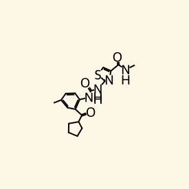 CNC(=O)c1csc(NC(=O)Nc2ccc(C)cc2C(=O)C2CCCC2)n1